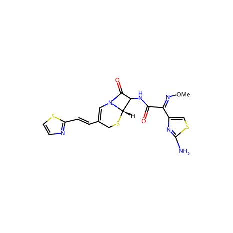 CON=C(C(=O)NC1C(=O)N2C=C(C=Cc3nccs3)CS[C@@H]12)c1csc(N)n1